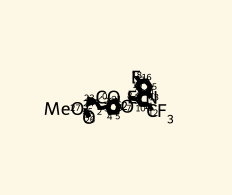 CCOC(=O)[C@@]1(Cc2ccc(OCc3cc(C(F)(F)F)nc4ccc(F)cc34)cc2)C[C@@H]1C(=O)OC